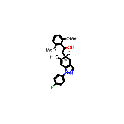 COc1cccc(OC)c1C(O)C[C@]1(C)Cc2cnn(-c3ccc(F)cc3)c2C=C1C